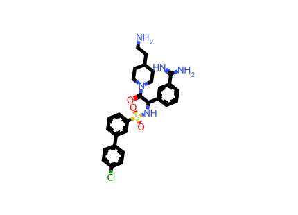 N=C(N)c1cccc(C(NS(=O)(=O)c2cccc(-c3ccc(Cl)cc3)c2)C(=O)N2CCC(CCN)CC2)c1